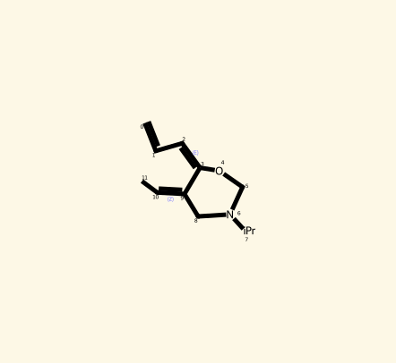 C=C/C=C1/OCN(C(C)C)C/C1=C/C